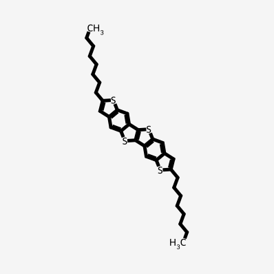 CCCCCCCCc1cc2cc3sc4c5cc6sc(CCCCCCCC)cc6cc5sc4c3cc2s1